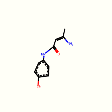 C/C(N)=C/C(=O)Nc1ccc(O)cc1